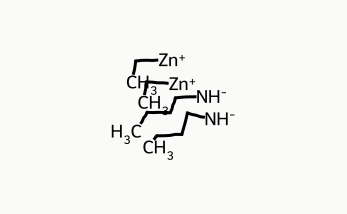 CCCC[NH-].CCCC[NH-].C[CH2][Zn+].C[CH2][Zn+]